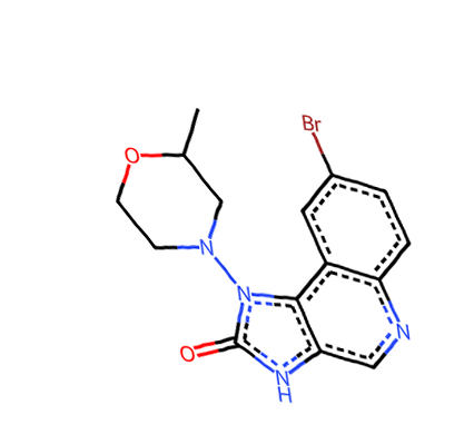 CC1CN(n2c(=O)[nH]c3cnc4ccc(Br)cc4c32)CCO1